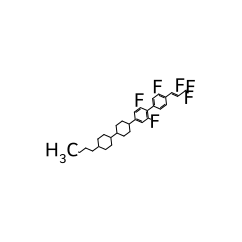 CCCCC1CCC(C2CCC(c3cc(F)c(-c4ccc(/C=C/C(F)(F)F)c(F)c4)c(F)c3)CC2)CC1